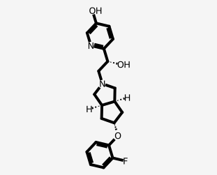 Oc1ccc([C@H](O)CN2C[C@H]3C[C@H](Oc4ccccc4F)C[C@H]3C2)nc1